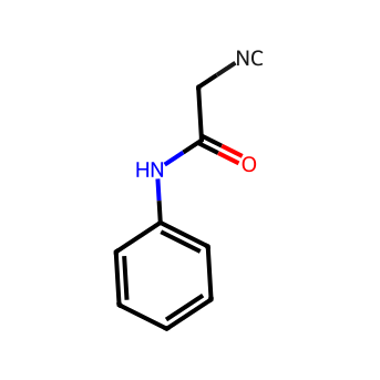 [C-]#[N+]CC(=O)Nc1ccccc1